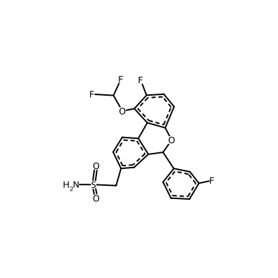 NS(=O)(=O)Cc1ccc2c(c1)C(c1cccc(F)c1)Oc1ccc(F)c(OC(F)F)c1-2